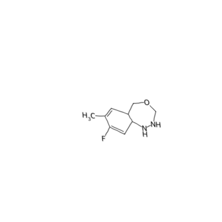 CC1=CC2COCNNC2C=C1F